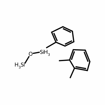 Cc1ccccc1.Cc1ccccc1C.[SiH3]O[SiH3]